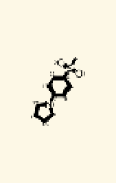 CS(=O)(=O)c1ccc(N2CCCC2)cc1